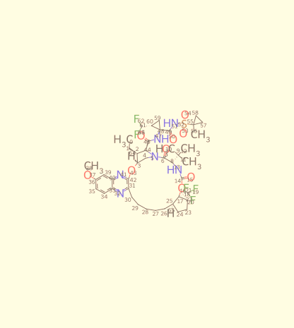 CC[C@@H]1[C@@H]2CN(C(=O)[C@H](C(C)(C)C)NC(=O)O[C@@]3(C(F)(F)F)CCC[C@H]3CCCCCc3nc4ccc(OC)cc4nc3O2)[C@@H]1C(=O)N[C@]1(C(=O)NS(=O)(=O)C2(C)CC2)C[C@H]1C(F)F